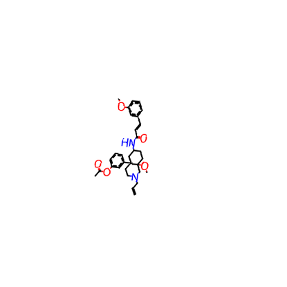 C=CCN1CCC2(c3cccc(OC(C)=O)c3)CC(NC(=O)/C=C/c3cccc(OC)c3)CCC2(OC)C1